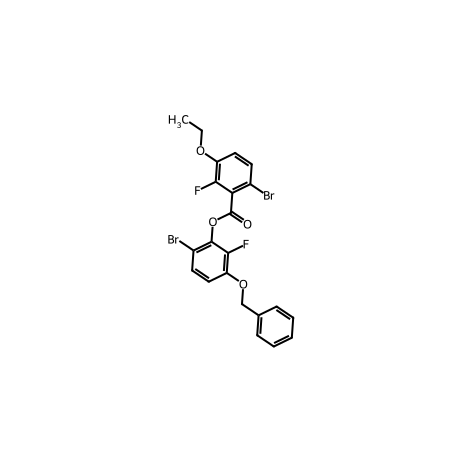 CCOc1ccc(Br)c(C(=O)Oc2c(Br)ccc(OCc3ccccc3)c2F)c1F